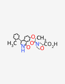 Cc1ccccc1-c1c[nH]c(=O)c2cc(O[C@H](C)C(=O)N3CCO[C@H](C(=O)O)C3)ccc12